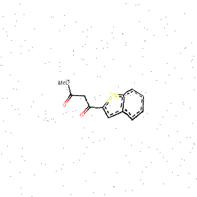 COC(=O)CC(=O)c1cc2ccccc2s1